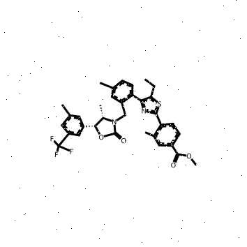 CCc1sc(-c2ccc(C(=O)OC)cc2C)nc1-c1ccc(C)cc1CN1C(=O)O[C@H](c2cc(C)cc(C(F)(F)F)c2)[C@@H]1C